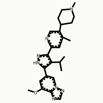 COc1cc(-c2[nH]nc(-c3cc(C)c(C4CCN(C)CC4)cn3)c2C(C)C)cn2ncnc12